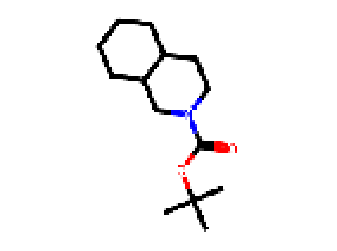 CC(C)(C)OC(=O)N1CCC2CCCCC2C1